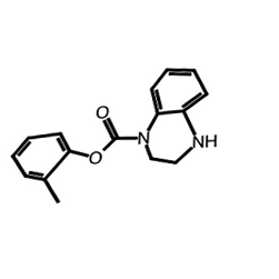 Cc1ccccc1OC(=O)N1CCNc2ccccc21